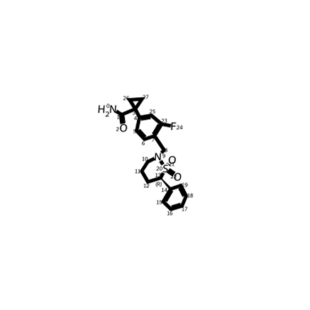 NC(=O)C1(c2ccc(CN3CCC[C@H](c4ccccc4)S3(=O)=O)c(F)c2)CC1